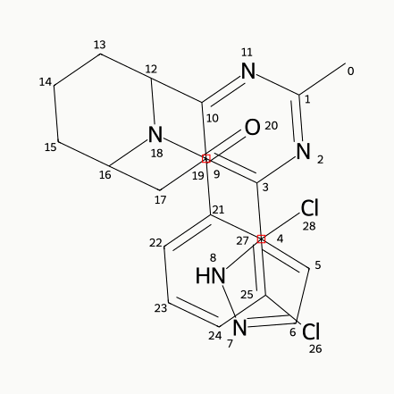 Cc1nc(-c2ccn[nH]2)c2c(n1)C1CCCC(C2)N1C(=O)c1cccc(Cl)c1Cl